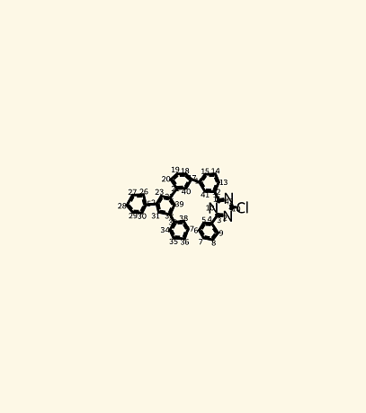 Clc1nc(-c2ccccc2)nc(-c2cccc(-c3cccc(-c4cc(-c5ccccc5)cc(-c5ccccc5)c4)c3)c2)n1